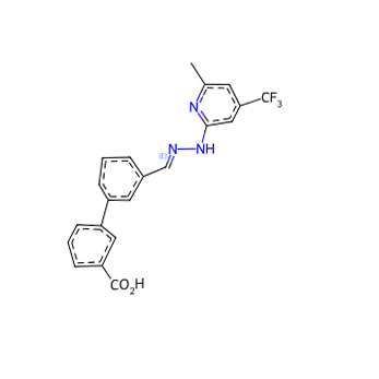 Cc1cc(C(F)(F)F)cc(N/N=C/c2cccc(-c3cccc(C(=O)O)c3)c2)n1